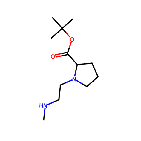 CNCCN1CCCC1C(=O)OC(C)(C)C